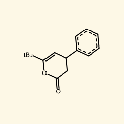 CC(C)(C)C1=CC(c2ccccc2)CC(=O)O1